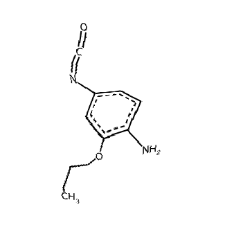 CCOc1cc(N=C=O)ccc1N